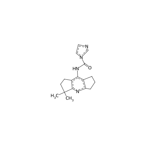 CC1(C)CCc2c1nc1c(c2NC(=O)n2ccnc2)CCC1